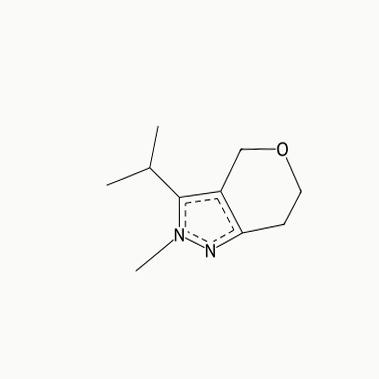 CC(C)c1c2c(nn1C)CCOC2